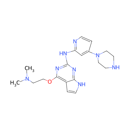 CN(C)CCOc1nc(Nc2cc(N3CCNCC3)ccn2)nc2[nH]ccc12